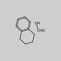 O=CO.c1ccc2c(c1)CCCC2